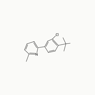 Cc1cccc(-c2ccc(C(C)(C)C)c(Cl)c2)n1